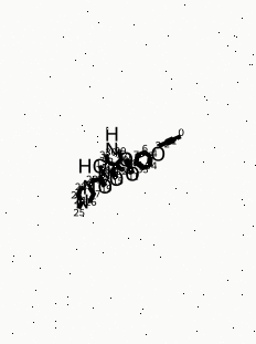 CC#CCOc1ccc(S(=O)(=O)CC2(C(=O)N(O)C(=O)CN3CCN(C)CC3)CCNCC2)cc1